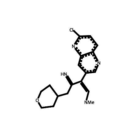 CN/C=C(\C(=N)CC1CCOCC1)c1cnc2ccc(Cl)nc2c1